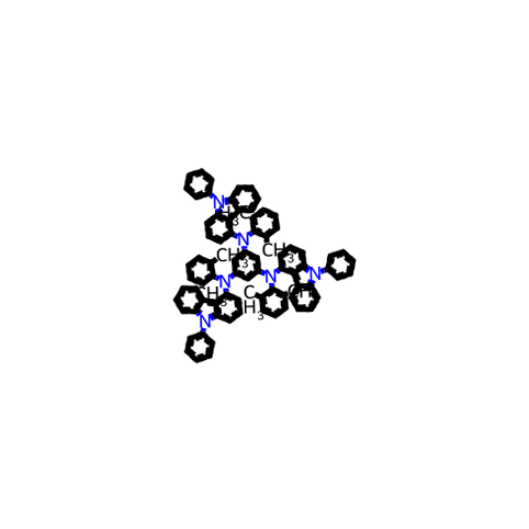 Cc1cccc(C)c1N(c1cc(N(c2c(C)cccc2C)c2cccc3c2c2ccccc2n3-c2ccccc2)cc(N(c2c(C)cccc2C)c2cccc3c2c2ccccc2n3-c2ccccc2)c1)c1cccc2c1c1ccccc1n2-c1ccccc1